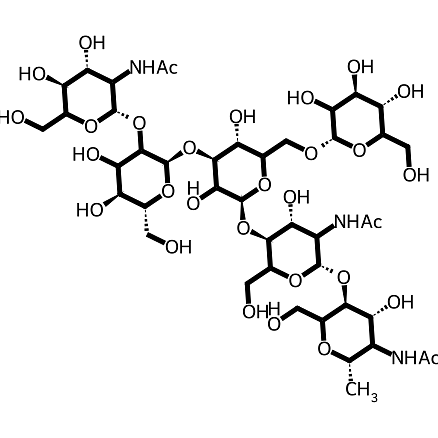 CC(=O)NC1[C@H](OC2C(O)[C@H](O)[C@@H](CO)O[C@@H]2O[C@@H]2C(O)[C@H](O[C@@H]3C(CO)O[C@@H](O[C@@H]4C(CO)O[C@@H](C)C(NC(C)=O)[C@H]4O)C(NC(C)=O)[C@H]3O)OC(CO[C@H]3OC(CO)[C@@H](O)[C@H](O)C3O)[C@H]2O)OC(CO)[C@@H](O)[C@@H]1O